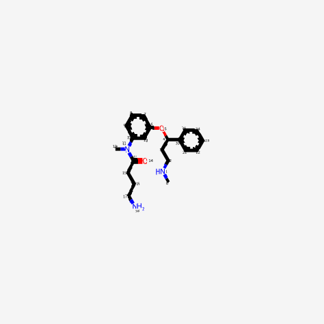 CNCCC(Oc1cccc(N(C)C(=O)CCCN)c1)c1ccccc1